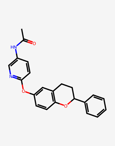 CC(=O)Nc1ccc(Oc2ccc3c(c2)CCC(c2ccccc2)O3)nc1